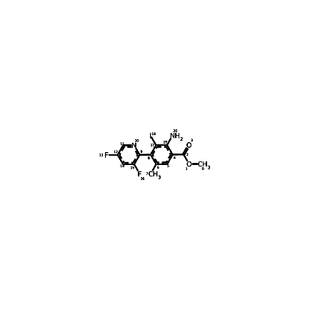 COC(=O)c1cc(C)c(-c2ncc(F)cc2F)c(I)c1N